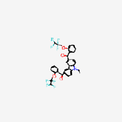 CCn1c2ccc(C(=O)c3ccccc3OCC(F)(F)C(F)F)cc2c2cc(C(=O)c3ccccc3OCC(F)(F)C(F)F)ccc21